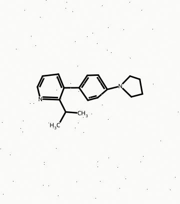 CC(C)c1ncccc1-c1ccc(N2CCCC2)cc1